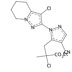 CCOC(=O)C(C)(Cl)Cc1c(C#N)cnn1-c1nn2c(c1Cl)CCCC2